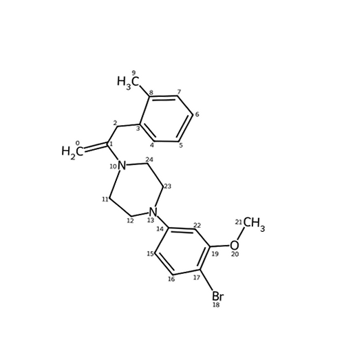 C=C(Cc1ccccc1C)N1CCN(c2ccc(Br)c(OC)c2)CC1